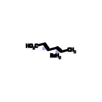 C/C=C/C=C/C(=O)O.[BaH2]